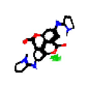 CN1CCCC1=Nc1cc2oc(=O)c3cc(N=C4CCCN4C)cc4oc(=O)c(c1)c2c43.Cl.Cl